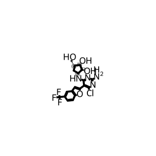 Nc1nc(Cl)c(-c2cc3cc(C(F)(F)F)ccc3o2)c(N[C@@H]2C[C@H](CO)[C@@H](O)[C@H]2O)n1